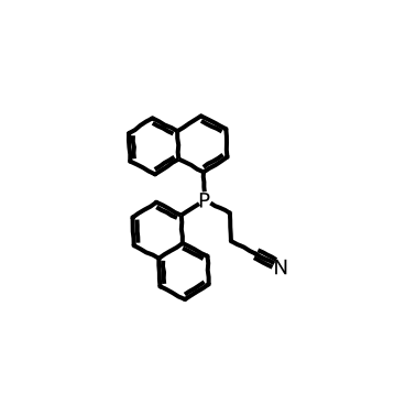 N#CCCP(c1cccc2ccccc12)c1cccc2ccccc12